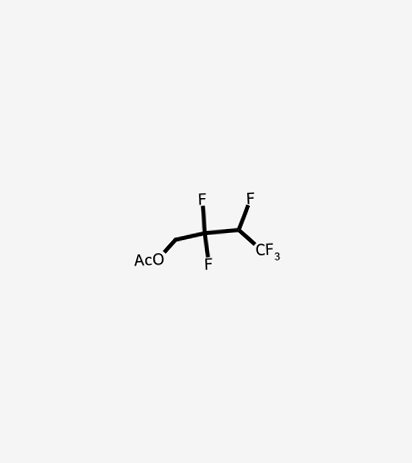 CC(=O)OCC(F)(F)C(F)C(F)(F)F